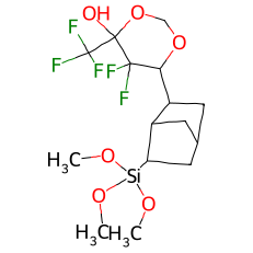 CO[Si](OC)(OC)C1CC2CC(C3OCOC(O)(C(F)(F)F)C3(F)F)C1C2